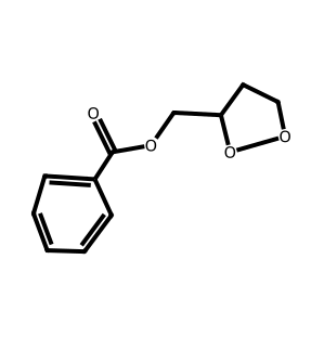 O=C(OCC1CCOO1)c1ccccc1